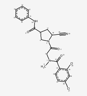 CN(CC(=O)N1CC(C(=O)Nc2ccccc2)CC1C#N)C(=O)c1ccc(Cl)cc1Cl